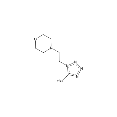 CC(C)(C)c1nnnn1CCN1CCOCC1